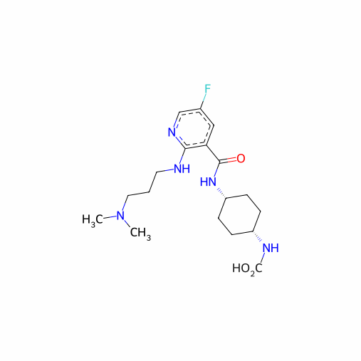 CN(C)CCCNc1ncc(F)cc1C(=O)N[C@H]1CC[C@@H](NC(=O)O)CC1